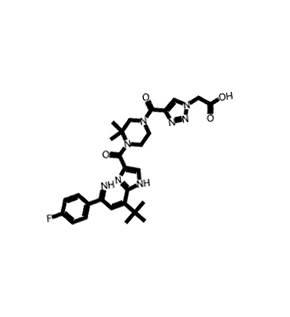 CC(C)(C)/C(=C/C(=N)c1ccc(F)cc1)c1nc(C(=O)N2CCN(C(=O)c3cn(CC(=O)O)nn3)CC2(C)C)c[nH]1